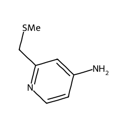 CSCc1cc(N)ccn1